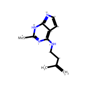 C=C(C)CCNc1nc(SC)[nH]c2nccc1-2